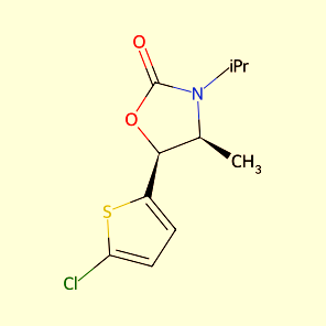 CC(C)N1C(=O)O[C@H](c2ccc(Cl)s2)[C@@H]1C